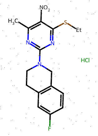 CCSc1nc(N2CCc3cc(F)ccc3C2)nc(C)c1[N+](=O)[O-].Cl